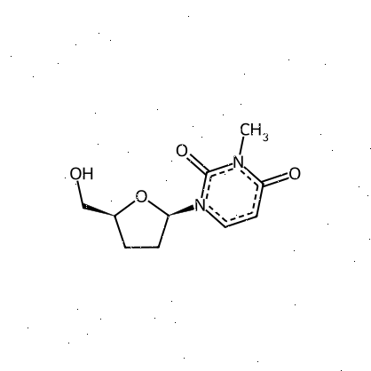 Cn1c(=O)ccn([C@H]2CC[C@@H](CO)O2)c1=O